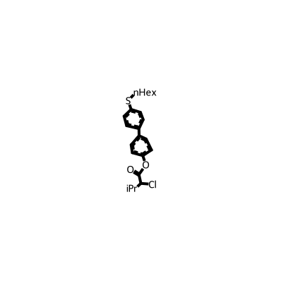 CCCCCCSc1ccc(-c2ccc(OC(=O)C(Cl)C(C)C)cc2)cc1